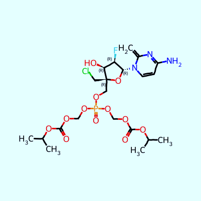 C=C1N=C(N)C=CN1[C@@H]1O[C@](CCl)(COP(=O)(OCOC(=O)OC(C)C)OCOC(=O)OC(C)C)[C@@H](O)[C@H]1F